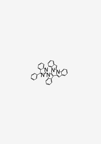 c1ccc(-c2nc(-n3c4ccccc4c4c5cc6ccccc6n5c5cc6ccccc6n5c43)nc3ccccc23)cc1